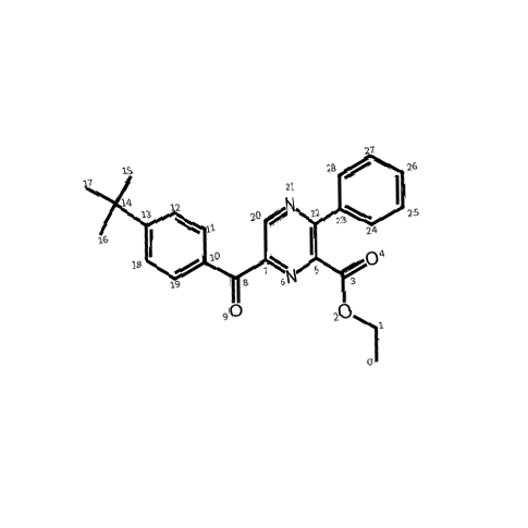 CCOC(=O)c1nc(C(=O)c2ccc(C(C)(C)C)cc2)cnc1-c1ccccc1